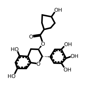 O=C(O[C@@H]1Cc2c(O)cc(O)cc2O[C@H]1c1cc(O)c(O)c(O)c1)C1CCC(O)CC1